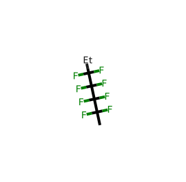 [CH2]CC(F)(F)C(F)(F)C(F)(F)C(C)(F)F